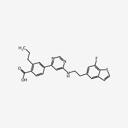 CCCc1cc(-c2cc(NCCc3cc(F)c4sccc4c3)ncn2)ccc1C(=O)O